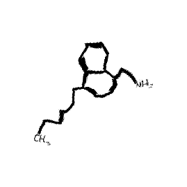 CCCCCCc1ccc(CN)c2ccccc12